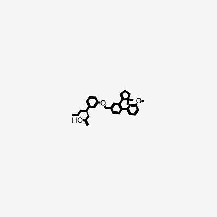 C=C(O)C[C@@H](CCC)c1cccc(OCc2ccc(-c3cccc(OC)c3)c(C3=CCCC3(C)C)c2)c1